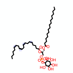 CCCCC/C=C\C/C=C\C/C=C\C/C=C\CCCC(=O)O[C@H](COC(=O)CCCCCCCCCCCCCCCCC)COP(=O)(O)OC1C(O)C(O)C(O)[C@@H](O)C1O